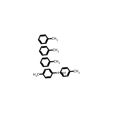 CCCCCCCc1ccc(C)cc1.Cc1ccccc1.Cc1ccccc1.Cc1ccccc1.Cc1ccccc1